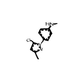 CNc1ccc(-n2nc(C)cc2Cl)cc1